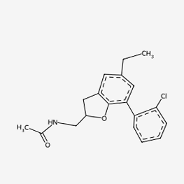 CCc1cc2c(c(-c3ccccc3Cl)c1)OC(CNC(C)=O)C2